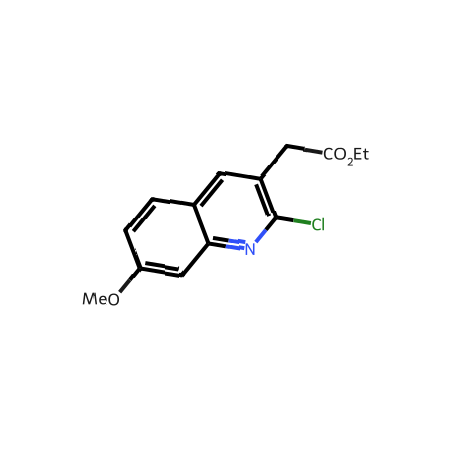 CCOC(=O)Cc1cc2ccc(OC)cc2nc1Cl